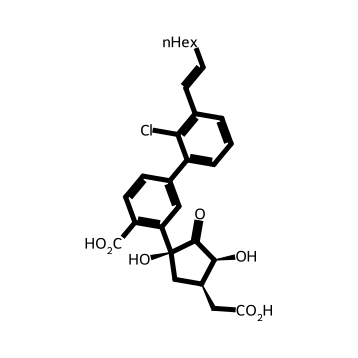 CCCCCCC=Cc1cccc(-c2ccc(C(=O)O)c([C@@]3(O)C[C@H](CC(=O)O)[C@H](O)C3=O)c2)c1Cl